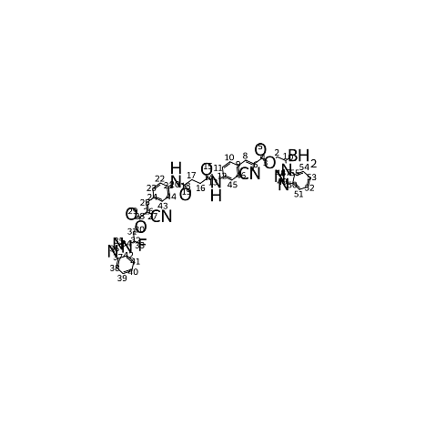 BC(COC(=O)/C(C#N)=C/c1ccc(NC(=O)CCC(=O)Nc2ccc(/C=C(\C#N)C(=O)OCC(F)n3nnc4ccccc43)cc2)cc1)n1nnc2ccccc21